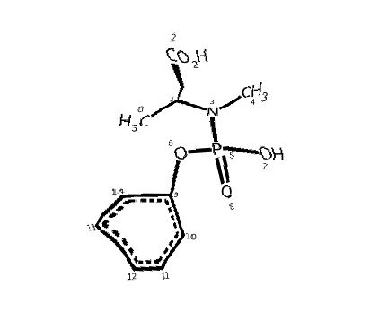 C[C@@H](C(=O)O)N(C)P(=O)(O)Oc1ccccc1